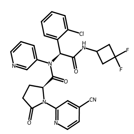 N#Cc1ccnc(N2C(=O)CC[C@H]2C(=O)N(c2cccnc2)[C@H](C(=O)NC2CC(F)(F)C2)c2ccccc2Cl)c1